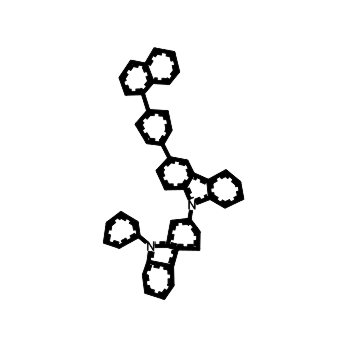 c1ccc(-n2c3ccccc3c3ccc(-n4c5ccccc5c5cc(-c6ccc(-c7cccc8ccccc78)cc6)ccc54)cc32)cc1